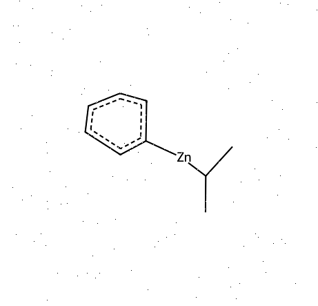 C[CH](C)[Zn][c]1ccccc1